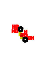 Oc1cccc(SOSc2cccc(O)c2O)c1O